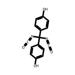 O=C=NC(N=C=O)(c1ccc(O)cc1)c1ccc(O)cc1